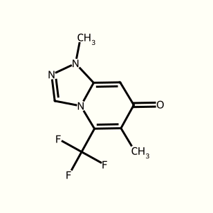 Cc1c(C(F)(F)F)n2cnn(C)c2cc1=O